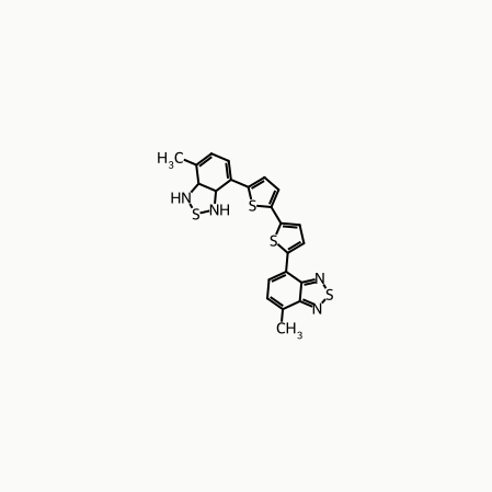 CC1=CC=C(c2ccc(-c3ccc(-c4ccc(C)c5nsnc45)s3)s2)C2NSNC12